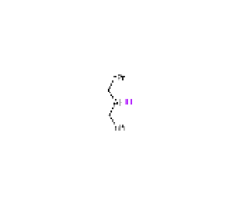 CCC[CH2][Al][CH2]CCC.I